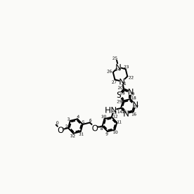 COc1ccc(COc2cccc(Nc3ncnc4nc(N5CCN(C)CC5)sc34)c2)cc1